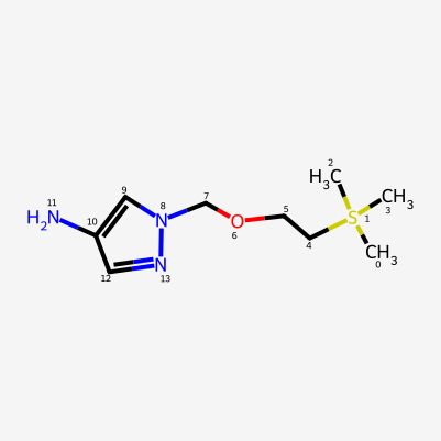 CS(C)(C)CCOCn1cc(N)cn1